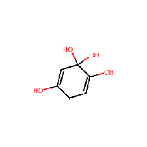 OC1=CC(O)(O)C(O)=C[CH]1